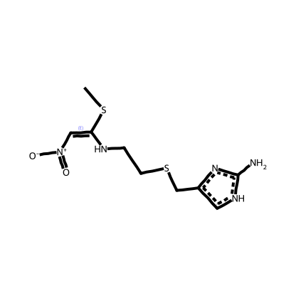 CS/C(=C/[N+](=O)[O-])NCCSCc1c[nH]c(N)n1